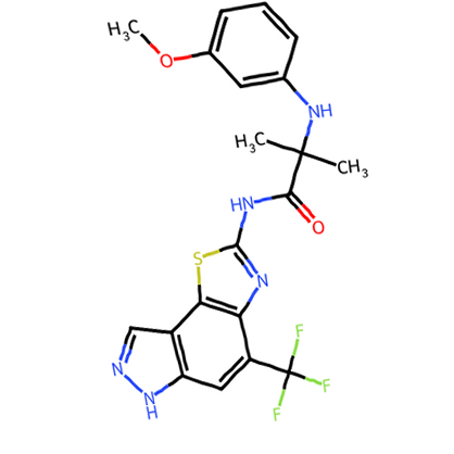 COc1cccc(NC(C)(C)C(=O)Nc2nc3c(C(F)(F)F)cc4[nH]ncc4c3s2)c1